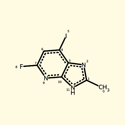 Cc1nc2c(I)cc(F)nc2[nH]1